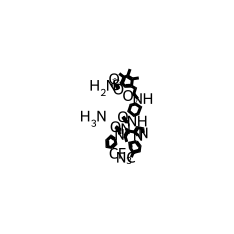 Cc1c(CC(=O)N[C@H]2CC[C@H](NC(=O)n3c(-c4ccnn4-c4ccc(C#N)cc4)c(C)n(-c4cccc(C(F)(F)F)c4)c3=O)CC2)cc(S(N)(=O)=O)c(C)c1C.N